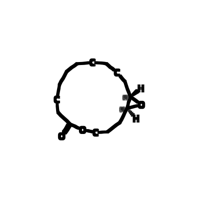 O=C1CCCCCCCCC[C@@H]2O[C@H]2CCCO1